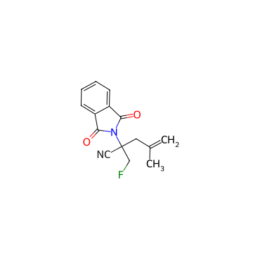 C=C(C)CC(C#N)(CF)N1C(=O)c2ccccc2C1=O